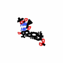 CC(=O)O[C@H]1CC[C@]2(C)[C@H]3CC[C@@H]4C5=C(C(C)C)C(=O)C[C@]5(NC(=O)C5(NC(=O)OC(C)(C)C)CC5)CC[C@@]4(C)[C@]3(C)CC[C@H]2C1(C)C